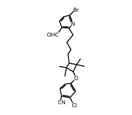 CC1(C)C(CCCCc2nc(Br)ccc2C=O)C(C)(C)C1Oc1ccc(C#N)c(Cl)c1